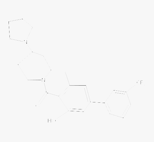 Cc1cc(-c2cccc(C(F)(F)F)c2)cc(O)c1C(=O)N1CCC(N2CCCC2)CC1